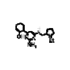 CCN1CCCC1CNc1cc(C2=C[CH]CC=C2O)nc(N)n1